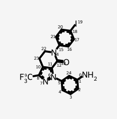 Nc1cccc(-n2nc(C(F)(F)F)c3c2C(=O)N(c2ccc(I)cc2)CC3)c1